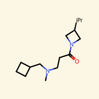 CC(C)C1CN(C(=O)CCN(C)CC2CCC2)C1